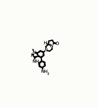 Cn1nc(N)c2c(-c3ccc(N)cc3)cc(N3CCN4C(=O)CC[C@@H]4C3)cc21